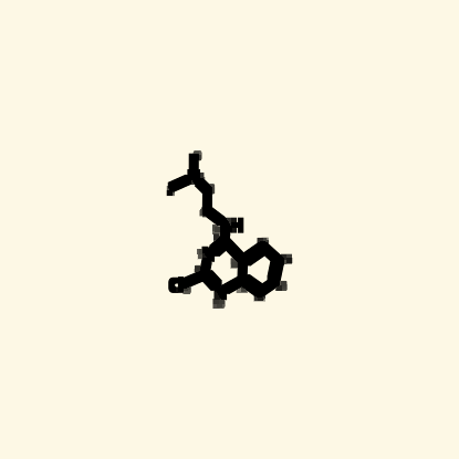 CN(C)CCNc1nc(Cl)nc2ccccc12